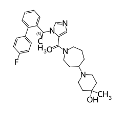 C[C@@H](c1ccccc1-c1ccc(F)cc1)n1cncc1C(=O)N1CCCC(N2CCC(C)(O)CC2)CC1